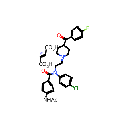 CC(=O)Nc1ccc(C(=O)N(CCN2CCC(C(=O)c3ccc(F)cc3)CC2)c2ccc(Cl)cc2)cc1.O=C(O)/C=C/C(=O)O